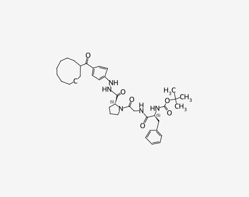 CC(C)(C)OC(=O)N[C@@H](Cc1ccccc1)C(=O)NCC(=O)N1CCC[C@H]1C(=O)NNc1ccc(C(=O)C2CCCCCCCCC2)cc1